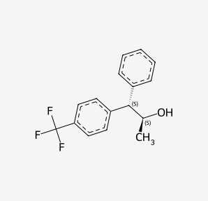 C[C@H](O)[C@@H](c1ccccc1)c1ccc(C(F)(F)F)cc1